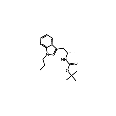 CCCn1cc(C[C@H](C)NC(=O)OC(C)(C)C)c2ccccc21